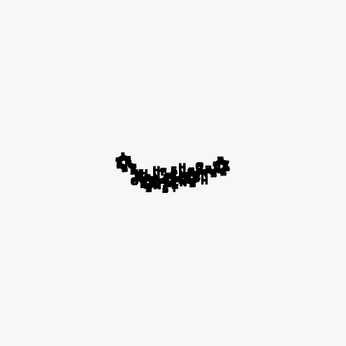 O=C(NCCN1CCCCC1)c1ccc2nc(-c3c(F)c(F)c(-c4nc5ccc(C(=O)NCCN6CCCCC6)cc5[nH]4)c(F)c3F)[nH]c2c1